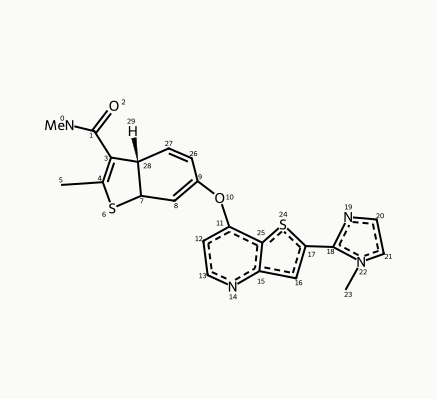 CNC(=O)C1=C(C)SC2C=C(Oc3ccnc4cc(-c5nccn5C)sc34)C=C[C@@H]12